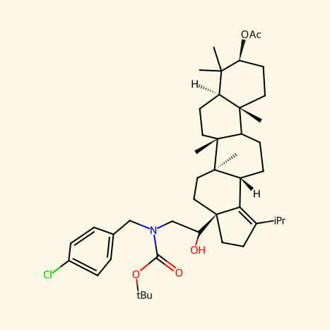 CC(=O)O[C@H]1CC[C@]2(C)C3CC[C@@H]4C5=C(C(C)C)CC[C@]5(C(O)CN(Cc5ccc(Cl)cc5)C(=O)OC(C)(C)C)CC[C@@]4(C)[C@]3(C)CC[C@H]2C1(C)C